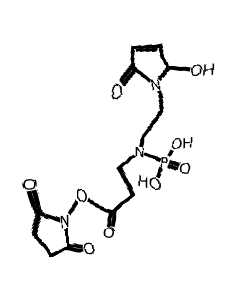 O=C(CCN(CCN1C(=O)C=CC1O)P(=O)(O)O)ON1C(=O)CCC1=O